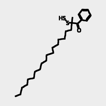 CCCCCCCCCCCCCCCCCCC(C)(SS)C(=O)c1ccccc1